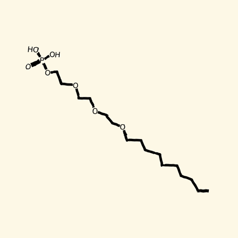 CCCCCCCCCCOCCOCCOCCOP(=O)(O)O